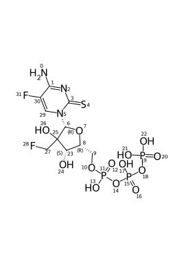 Nc1nc(=S)n([C@@H]2O[C@H](COP(=O)(O)OP(=O)(O)OP(=O)(O)O)[C@H](O)C2(O)CF)cc1F